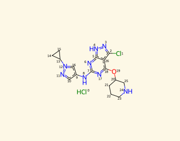 Cl.Clc1n[nH]c2nc(Nc3cnn(C4CC4)c3)nc(OC3CCCNC3)c12